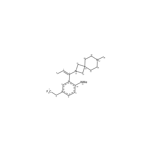 C/C=C(\c1cc(CC(F)(F)F)ccc1NC)N1CC2(CCN(C)CC2)C1